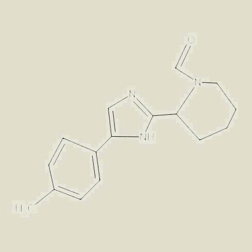 Cc1ccc(-c2cnc(C3CCCCN3C=O)[nH]2)cc1